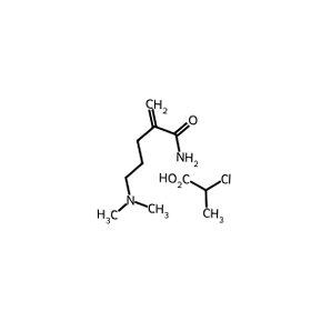 C=C(CCCN(C)C)C(N)=O.CC(Cl)C(=O)O